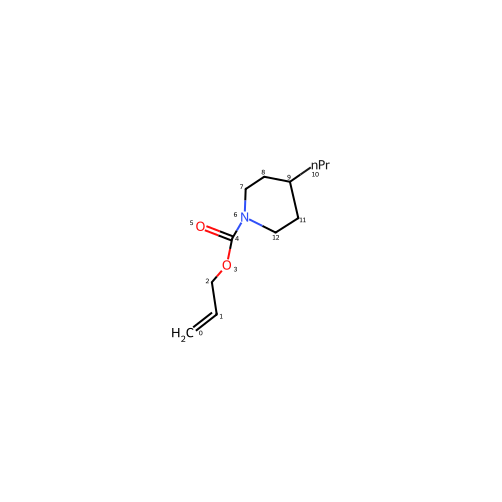 C=CCOC(=O)N1CCC(CCC)CC1